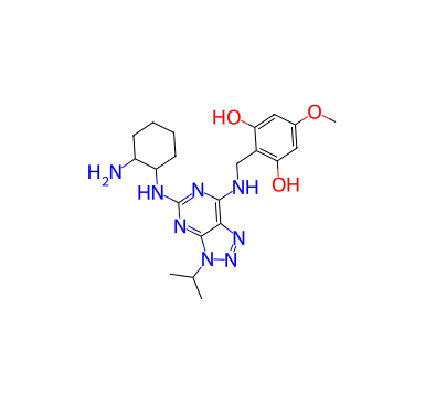 COc1cc(O)c(CNc2nc(NC3CCCCC3N)nc3c2nnn3C(C)C)c(O)c1